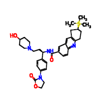 CS(C)(C)[C@H]1CCc2nc3ccc(C(=O)N[C@H](CCN4CCC(O)CC4)c4ccc(N5CCOC5=O)cc4)cc3cc2C1